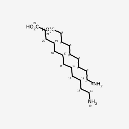 NCCCCCCCCC(=O)O.NCCCCCCCCCCCC(=O)O